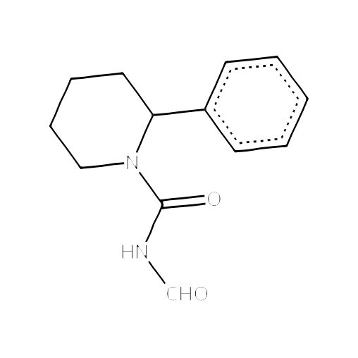 O=CNC(=O)N1CCCCC1c1ccccc1